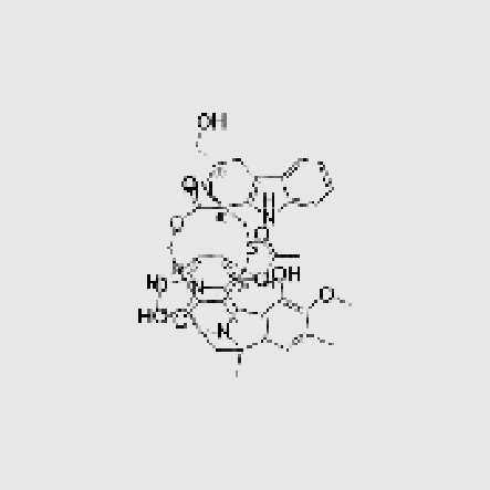 COc1c(C)cc2c(c1O)C1C3[C@@H]4SC[C@]5(N[C@H](CO)Cc6c5[nH]c5ccccc65)C(=O)OC[C@@H](c5c6c(c(C)c(OC(C)=O)c54)OCO6)N3C3(O)CN1C2(C)C3